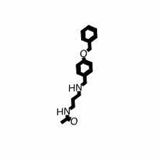 CC(=O)NCCCNCc1ccc(OCc2ccccc2)cc1